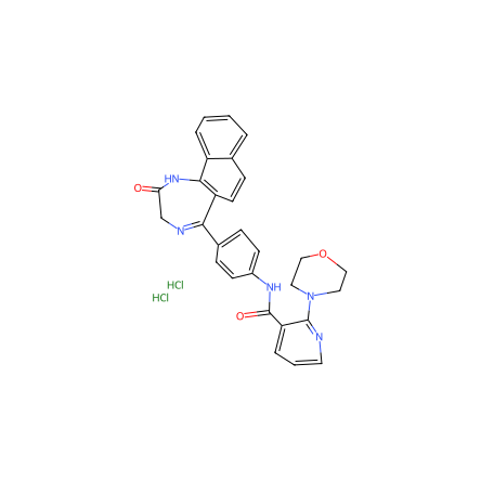 Cl.Cl.O=C1CN=C(c2ccc(NC(=O)c3cccnc3N3CCOCC3)cc2)c2ccc3ccccc3c2N1